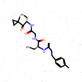 C=C(CCc1ccc(C)cc1)N[C@@H](CC(C)C)C(=O)NCC(=O)N[C@@H](CC(C)C)C(=O)C1(C)CC1